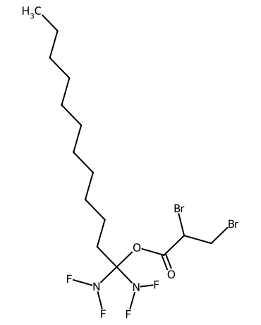 CCCCCCCCCCCC(OC(=O)C(Br)CBr)(N(F)F)N(F)F